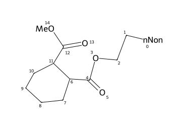 CCCCCCCCCCCOC(=O)C1CCCCC1C(=O)OC